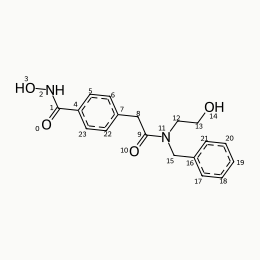 O=C(NO)c1ccc(CC(=O)N(CCO)Cc2ccccc2)cc1